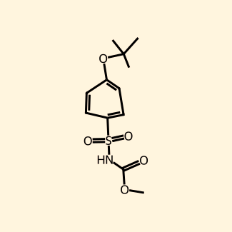 COC(=O)NS(=O)(=O)c1ccc(OC(C)(C)C)cc1